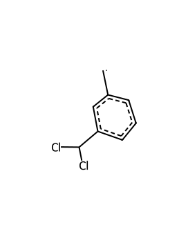 [CH2]c1cccc(C(Cl)Cl)c1